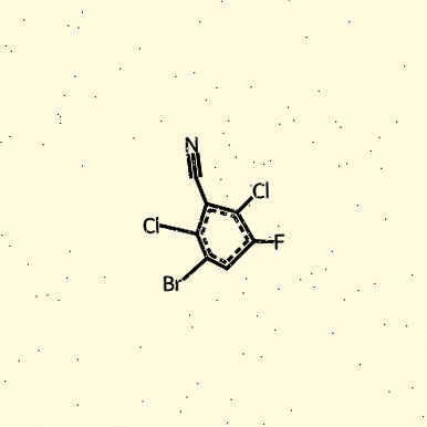 N#Cc1c(Cl)c(F)cc(Br)c1Cl